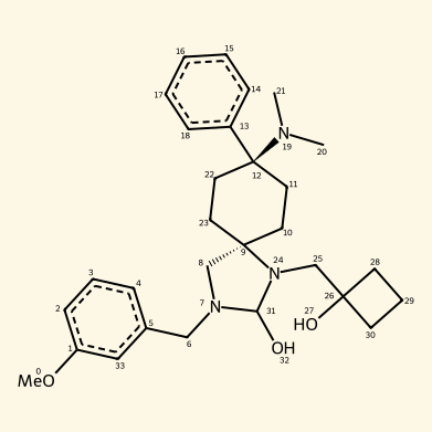 COc1cccc(CN2C[C@]3(CC[C@](c4ccccc4)(N(C)C)CC3)N(CC3(O)CCC3)C2O)c1